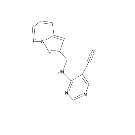 N#Cc1cncnc1NCc1cc2ccccn2c1